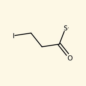 O=C([S])CCI